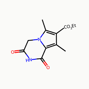 CCOC(=O)c1c(C)c2n(c1C)CC(=O)NC2=O